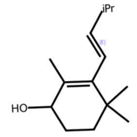 CC1=C(/C=C/C(C)C)C(C)(C)CCC1O